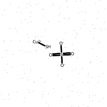 O=S(=O)([O-])[O-].[SH][Cu+2]